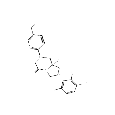 O=C1CN(c2ccc(CO)cn2)C[C@@H]2C[C@H](c3c(O)ccc(Cl)c3Cl)CN12